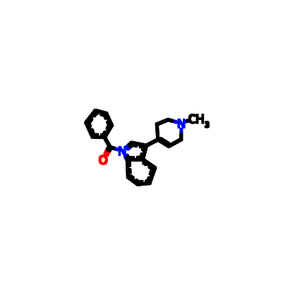 CN1CC=C(c2cn(C(=O)c3ccccc3)c3ccccc23)CC1